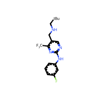 CC(C)(C)CNCc1cnc(Nc2cccc(F)c2)nc1C(F)(F)F